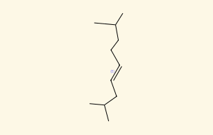 CC(C)C/C=C/CCC(C)C